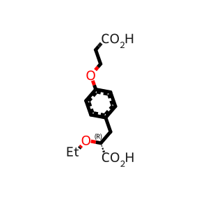 CCO[C@H](Cc1ccc(OCCC(=O)O)cc1)C(=O)O